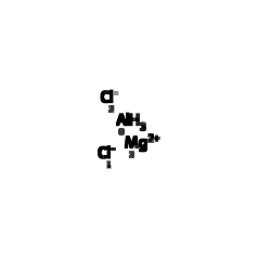 [AlH3].[Cl-].[Cl-].[Mg+2]